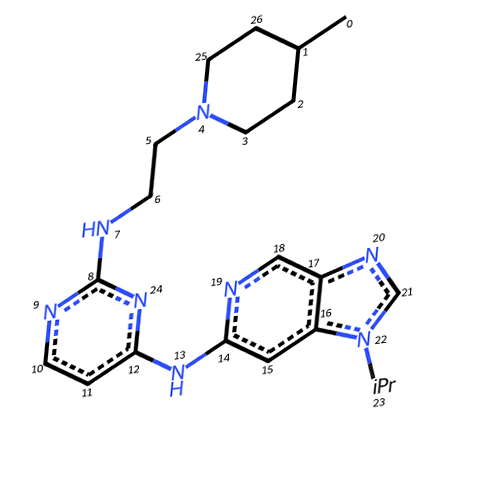 CC1CCN(CCNc2nccc(Nc3cc4c(cn3)ncn4C(C)C)n2)CC1